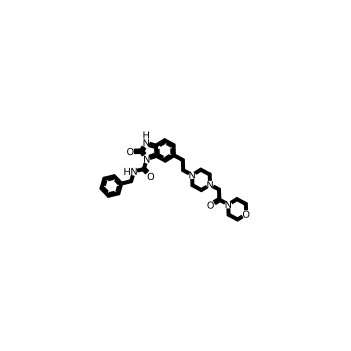 O=C(CN1CCN(CCc2ccc3[nH]c(=O)n(C(=O)NCc4ccccc4)c3c2)CC1)N1CCOCC1